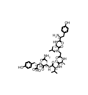 CC(C)C[C@H](NC(=O)[C@@H](N)Cc1ccc(O)cc1)C(=O)NCC(=O)N[C@@H](C)C(=O)N[C@H](C(=O)N[C@@H](CC(N)=O)C(=O)N[C@@H](Cc1ccc(O)cc1)C(=O)O)C(C)C